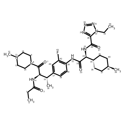 CCC(=O)N[C@@H](C(=O)N1CCN(C)CC1)[C@@H](C)c1ccc(NC(=O)[C@@H](NC(=O)c2nnnn2CC)[C@H]2CC[C@H](C)CC2)c(F)c1